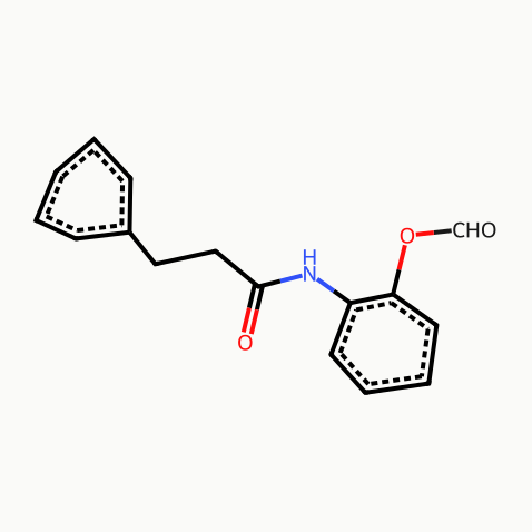 O=COc1ccccc1NC(=O)CCc1ccccc1